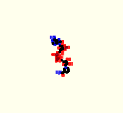 NC(=O)C1=CN([C@@H]2O[C@H](COP(=O)(O)OP(=O)(O)OC[C@@]34O[C@@H](n5cnc6c(N)ncnc65)[C@@]5(O)OP(=O)(O3)O[C@]45O)[C@@H](O)[C@H]2O)C=CC1